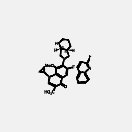 COc1c(N2C[C@@H]3CCCN[C@@H]3C2)c(F)cc2c(=O)c(C(=O)O)cn(C3CC3)c12.Fc1ccc2ccccc2n1